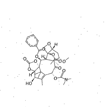 CO[C@H]1C[C@H]2OC[C@@]2(OC(C)=O)[C@H]2[C@H](OC(=O)c3ccccc3)[C@]34OC(=O)O[C@H]3[C@H](O)C(C)=C([C@@H](OC(=O)N(C)C)C(=O)[C@]12C)C4(C)C